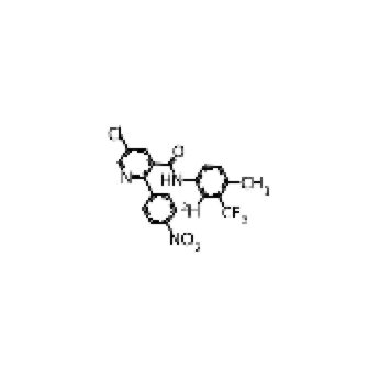 [2H]c1c(NC(=O)c2cc(Cl)cnc2-c2ccc([N+](=O)[O-])cc2)ccc(C)c1C(F)(F)F